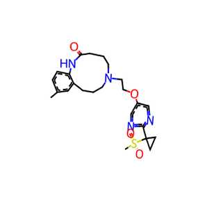 Cc1ccc2c(c1)CCCN(CCOc1cnc(C3(S(C)(=O)=O)CC3)nc1)CCCC(=O)N2